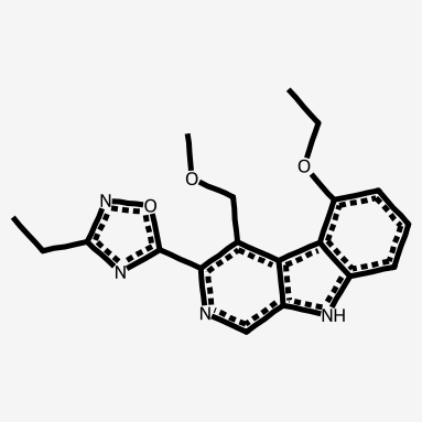 CCOc1cccc2[nH]c3cnc(-c4nc(CC)no4)c(COC)c3c12